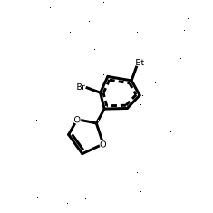 CCc1ccc(C2OC=CO2)c(Br)c1